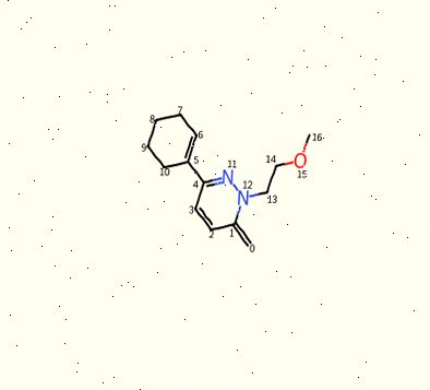 C=C1C=CC(C2=CCCCC2)=NN1CCOC